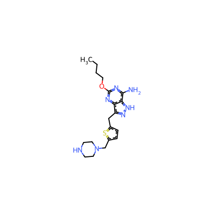 CCCCOc1nc(N)c2[nH]nc(Cc3ccc(CN4CCNCC4)s3)c2n1